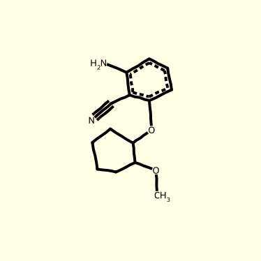 COC1CCCCC1Oc1cccc(N)c1C#N